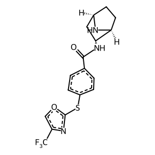 O=C(N[C@@H]1C[C@H]2CC[C@@H]1N2)c1ccc(Sc2nc(C(F)(F)F)co2)cc1